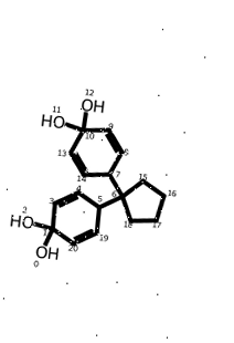 OC1(O)C=CC(C2(C3C=CC(O)(O)C=C3)CCCC2)C=C1